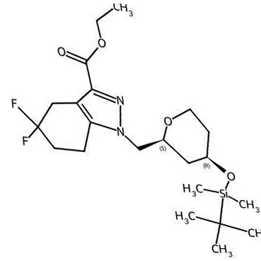 CCOC(=O)c1nn(C[C@@H]2C[C@H](O[Si](C)(C)C(C)(C)C)CCO2)c2c1CC(F)(F)CC2